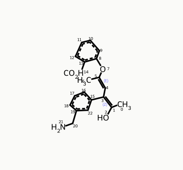 C/C(O)=C(\C=C(/C)Oc1ccccc1C(=O)O)c1cccc(CN)c1